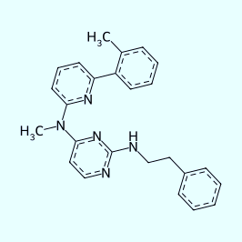 Cc1ccccc1-c1cccc(N(C)c2ccnc(NCCc3ccccc3)n2)n1